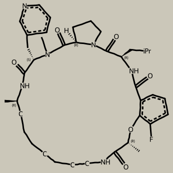 CC(C)C[C@H]1NC(=O)c2cccc(F)c2O[C@H](C)C(=O)NCCCCCCC[C@@H](C)NC(=O)[C@H](Cc2cccnc2)N(C)C(=O)[C@H]2CCCN2C1=O